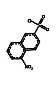 O=[N+]([O-])c1cccc2cc(S(=O)(=O)Cl)ccc12